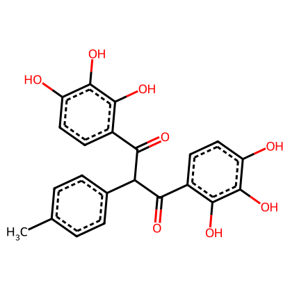 Cc1ccc(C(C(=O)c2ccc(O)c(O)c2O)C(=O)c2ccc(O)c(O)c2O)cc1